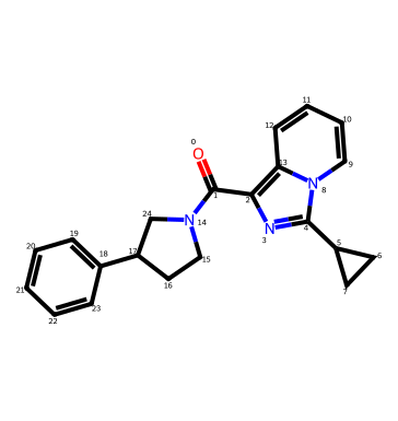 O=C(c1nc(C2CC2)n2ccccc12)N1CCC(c2ccccc2)C1